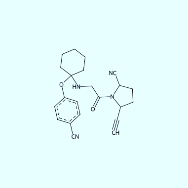 C#CC1CCC(C#N)N1C(=O)CNC1(Oc2ccc(C#N)cc2)CCCCC1